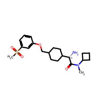 CN(C(=O)[C@@H](N)C1CCC(COc2cccc(S(C)(=O)=O)c2)CC1)C1CCC1